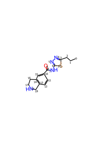 CCCc1nnc(NC(=O)c2ccc3c(c2)CCNC3)s1